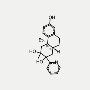 CC[C@@]12CC(C)(O)C(O)(c3ccccn3)C[C@H]1CCc1cc(O)ccc12